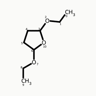 CCOC1CCC(OCC)O1